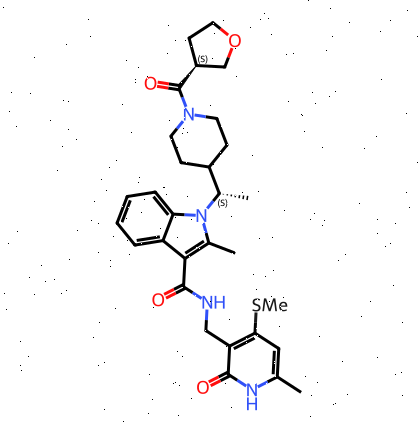 CSc1cc(C)[nH]c(=O)c1CNC(=O)c1c(C)n([C@@H](C)C2CCN(C(=O)[C@H]3CCOC3)CC2)c2ccccc12